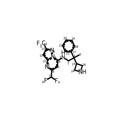 CC(CNc1cc(C(F)F)nc2cc(C(F)(F)F)nn12)(c1ccccc1)C1CNC1